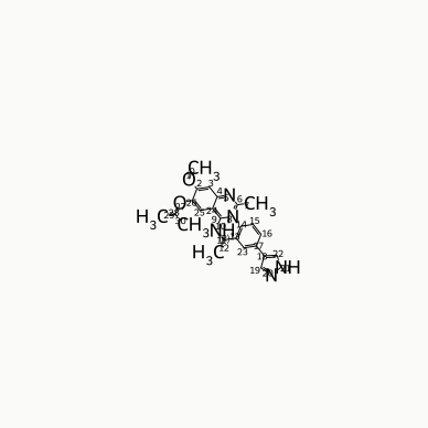 COc1cc2nc(C)nc(N[C@H](C)c3cccc(-c4cn[nH]c4)c3)c2cc1OC(C)C